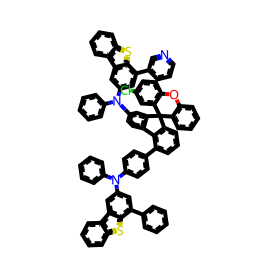 Clc1ccc2c(c1)C1(c3ccccc3O2)c2cc(N(c3ccccc3)c3cc(-c4cccnc4)c4sc5ccccc5c4c3)ccc2-c2c(-c3ccc(N(c4ccccc4)c4cc(-c5ccccc5)c5sc6ccccc6c5c4)cc3)cccc21